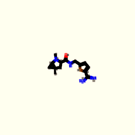 CN1C(C(=O)NCc2ccc(C(=N)N)s2)C[C@]2(C)CC12